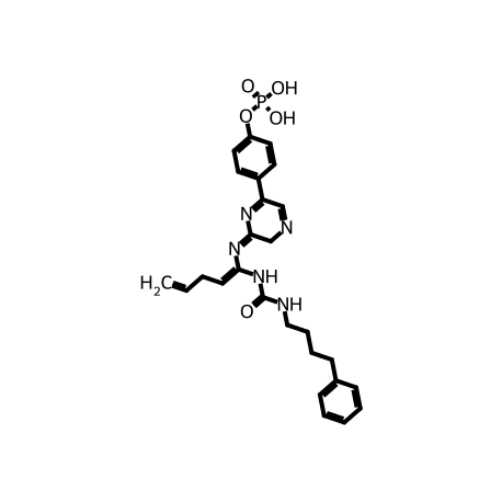 C=CC/C=C(\N=C1/CN=CC(c2ccc(OP(=O)(O)O)cc2)=N1)NC(=O)NCCCCc1ccccc1